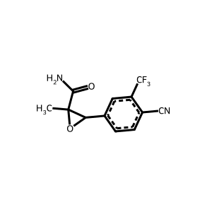 CC1(C(N)=O)OC1c1ccc(C#N)c(C(F)(F)F)c1